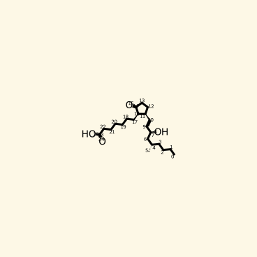 CCCC[C@H](C)C[C@H](O)/C=C/[C@@H]1CCC(=O)[C@@H]1CCCCCCC(=O)O